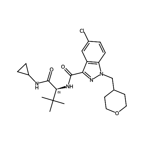 CC(C)(C)[C@H](NC(=O)c1nn(CC2CCOCC2)c2ccc(Cl)cc12)C(=O)NC1CC1